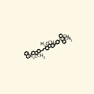 CC1(C)c2cc(/C=C/c3ccc4c(c3)C(C)(C)c3cc(N5CCCc6ccccc65)ccc3-4)ccc2-c2ccc(-c3ccc(N4c5ccccc5C(C)(C)c5ccccc54)cc3)cc21